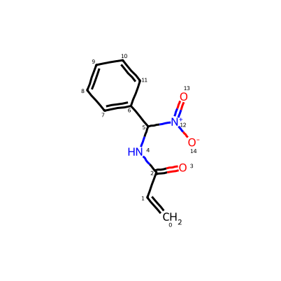 C=CC(=O)NC(c1ccccc1)[N+](=O)[O-]